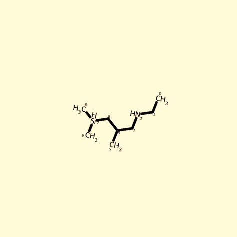 CCNCC(C)C[SiH](C)C